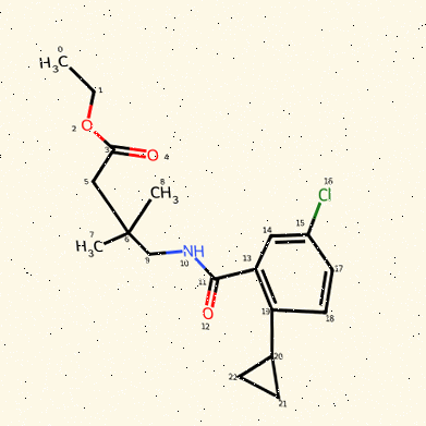 CCOC(=O)CC(C)(C)CNC(=O)c1cc(Cl)ccc1C1CC1